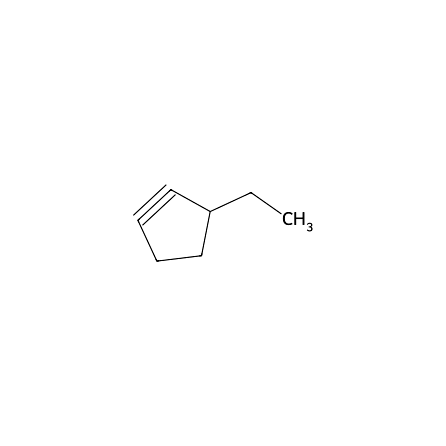 CCC1C#CCC1